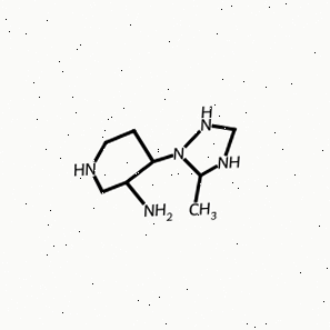 CC1NCNN1C1CCNCC1N